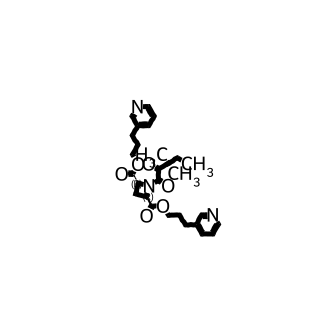 CCC(C)(C)C(=O)C(=O)N1[C@@H](C(=O)OCCCc2cccnc2)C[C@@H]1C(=O)OCCCc1cccnc1